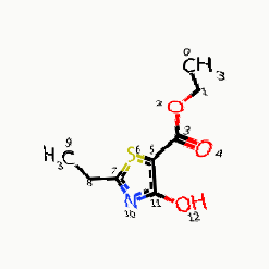 CCOC(=O)c1sc(CC)nc1O